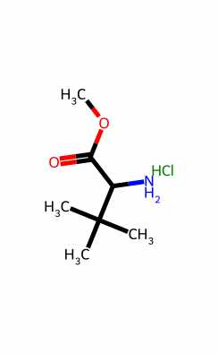 COC(=O)C(N)C(C)(C)C.Cl